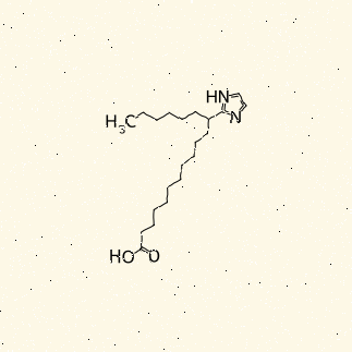 CCCCCCC(CCCCCCCCCCC(=O)O)c1ncc[nH]1